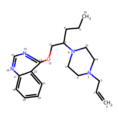 C=CCN1CCN(C(CCC)COc2ncnc3ccccc23)CC1